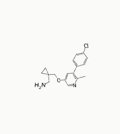 Cc1ncc(OCC2(CN)CC2)cc1-c1ccc(Cl)cc1